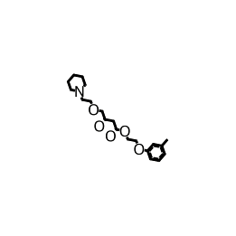 Cc1cccc(OCCOC(=O)CC(=O)COCCN2CCCCC2)c1